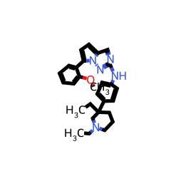 CCN1CCCC(CC)(c2ccc(Nc3ncc4ccc(-c5ccccc5OC)n4n3)cc2)C1